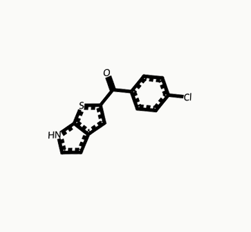 O=C(c1ccc(Cl)cc1)c1cc2cc[nH]c2s1